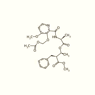 COC(=O)[C@@H](Cc1ccccc1)[C@H](C)OC(=O)[C@H](C)NC(=O)c1nccc(OC)c1OCOC(C)=O